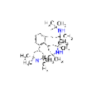 CC1(C)CC(c2cccc(C3CC(C)(C)NC(C)(C)C3)c2C2CC(C)(C)NC(C)(C)C2)CC(C)(C)N1